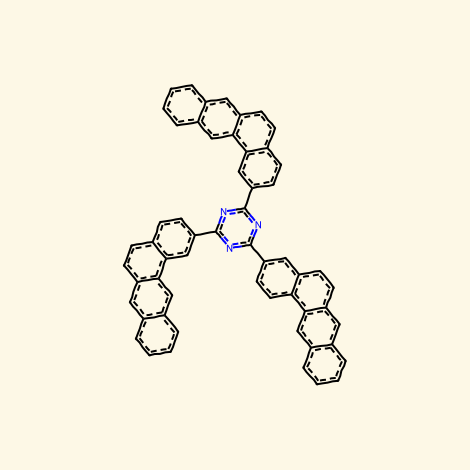 c1ccc2cc3c(ccc4cc(-c5nc(-c6ccc7ccc8cc9ccccc9cc8c7c6)nc(-c6ccc7ccc8cc9ccccc9cc8c7c6)n5)ccc43)cc2c1